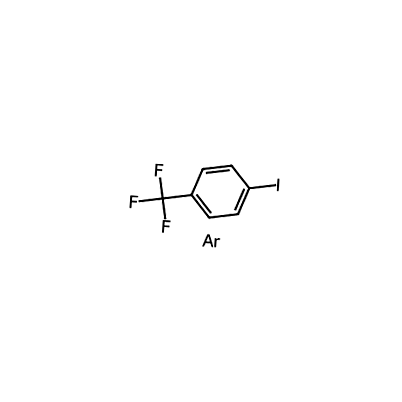 FC(F)(F)c1ccc(I)cc1.[Ar]